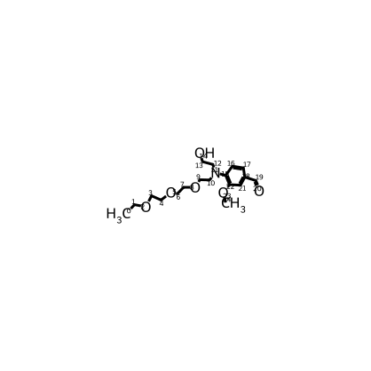 CCOCCOCCOCCN(CCO)c1ccc(C=O)cc1OC